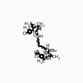 Cc1ncsc1-c1ccc([C@H](C)NC(=O)[C@@H]2C[C@@H](C)CN2C(=O)[C@@H](NC(=O)COC/C=C\COCCNC(=O)C[C@@H]2N=C(c3ccc(Cl)cc3)c3c(sc(C)c3C)-n3c(C)nnc32)C(C)(C)C)cc1